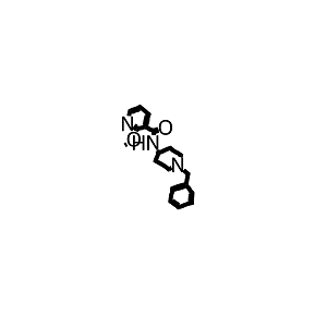 COc1ncccc1C(=O)NC1CCN(Cc2ccccc2)CC1